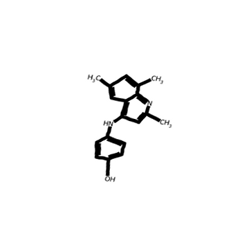 Cc1cc(C)c2nc(C)cc(Nc3ccc(O)cc3)c2c1